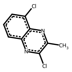 Cc1nc2c(Cl)cccc2nc1Cl